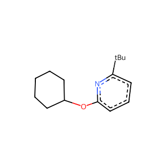 CC(C)(C)c1cccc(OC2CCCCC2)n1